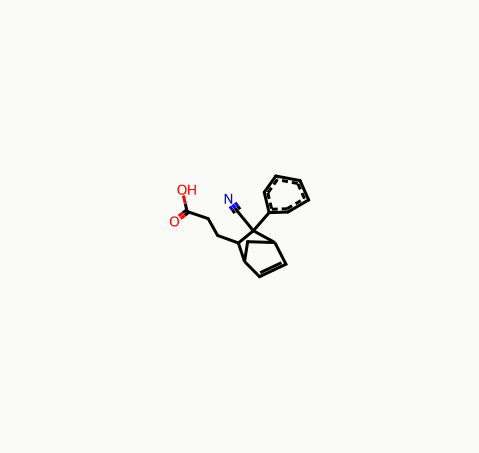 N#CC1(c2ccccc2)C2C=CC(C2)C1CCC(=O)O